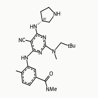 CNC(=O)c1ccc(C)c(Nc2nc(N(C)CC(C)(C)C)nc(N[C@@H]3CCNC3)c2C#N)c1